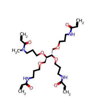 C=CC(=O)NCCCOC[C@H](OCCCNC(=O)C=C)[C@@H](COCCCNC(=O)C=C)OCCCN(C)C(=O)C=C